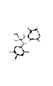 Cc1cc(OC(c2cc(C)c(C(C)(C)C)cc2C(C)(C)C)C(CO)(CO)CO)c(C(C)(C)C)cc1C(C)(C)C